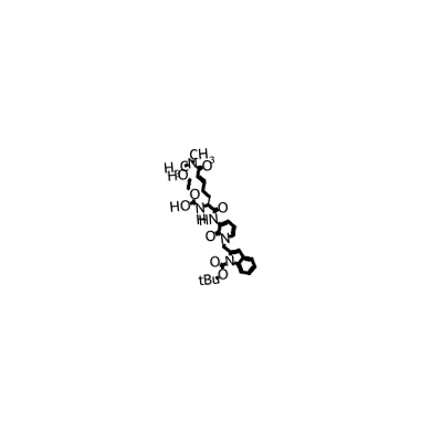 CN(C)C(=O)/C=C/CC[C@H](NC(O)OCCO)C(=O)Nc1cccn(Cc2cc3ccccc3n2C(=O)OC(C)(C)C)c1=O